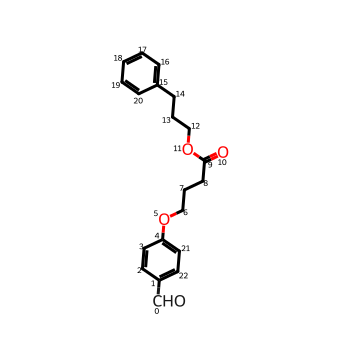 O=Cc1ccc(OCCCC(=O)OCCCc2ccccc2)cc1